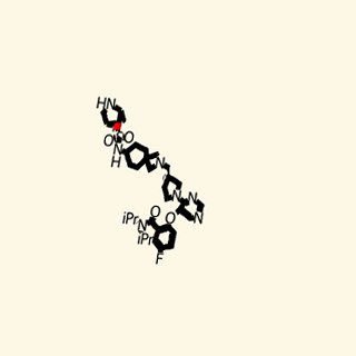 CC(C)N(C(=O)c1cc(F)ccc1Oc1cncnc1N1CC[C@@H](CN2CC3(CCC(NS(=O)(=O)N4CC5CC4CN5)CC3)C2)C1)C(C)C